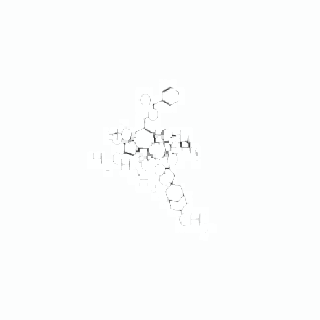 CC1=C[C@H]2C3[C@H](C)C[C@@](C)(OC(=O)CC4(C)CC5CC(C)CC(C5)C4)C(C)(C)[C@@H]3C=C(COC(=O)C3=CCCC=C3)C[C@]2(O)C1=O